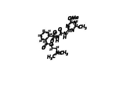 COc1nc(C)nc(NC(=O)NS(=O)(=O)c2ccccc2C(=O)OCCN(C)C)n1